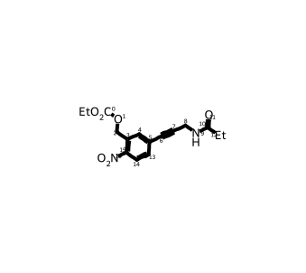 CCOC(=O)OCc1cc(C#CCNC(=O)CC)ccc1[N+](=O)[O-]